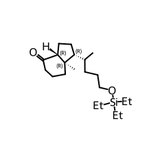 CC[Si](CC)(CC)OCCCC(C)[C@H]1CC[C@H]2C(=O)CCC[C@]12C